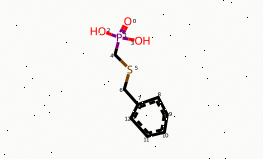 O=P(O)(O)CSCc1ccccc1